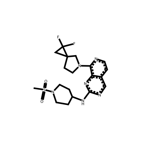 CS(=O)(=O)N1CCC(Nc2ncc3ccnc(N4CCC5(C4)CC5(F)F)c3n2)CC1